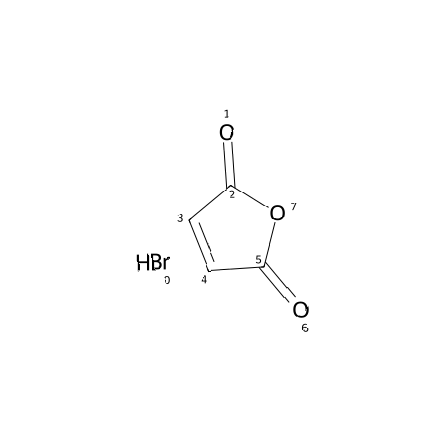 Br.O=C1C=CC(=O)O1